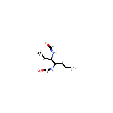 CCCC(N=C=O)C(CC)N=C=O